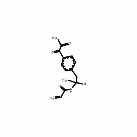 C=CC(=O)NC(C)(C)Cc1ccc(C(=O)C(=O)OC)cc1